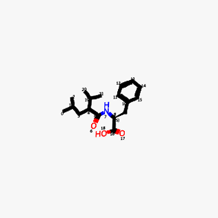 CC(C)CC(C(=O)N[C@@H](Cc1ccccc1)C(=O)O)C(C)C